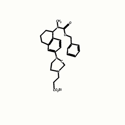 CCOC(=O)CCN1CCN(c2ccc3c(c2)CCCC3N(C)C(=O)OCc2ccccc2)CC1